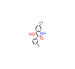 O=c1[nH]c2cc(Cl)ccc2c(O)c1-c1cccc(I)c1